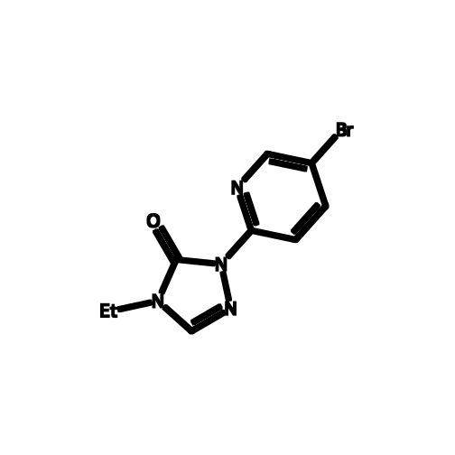 CCn1cnn(-c2ccc(Br)cn2)c1=O